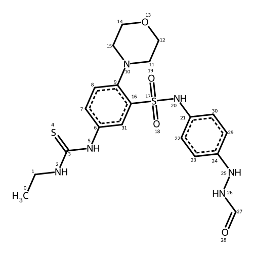 CCNC(=S)Nc1ccc(N2CCOCC2)c(S(=O)(=O)Nc2ccc(NNC=O)cc2)c1